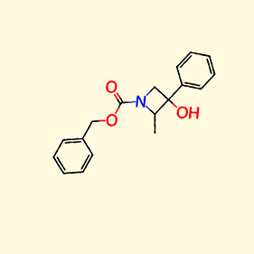 CC1N(C(=O)OCc2ccccc2)CC1(O)c1ccccc1